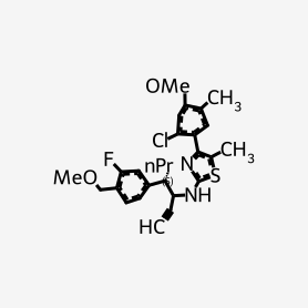 C#CC(Nc1nc(-c2cc(C)c(OC)cc2Cl)c(C)s1)[C@@H](CCC)c1ccc(COC)c(F)c1